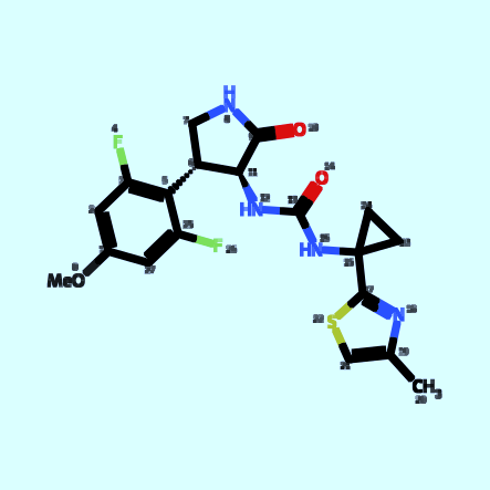 COc1cc(F)c([C@@H]2CNC(=O)[C@H]2NC(=O)NC2(c3nc(C)cs3)CC2)c(F)c1